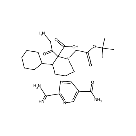 CC(C)(C)OC(=O)CN1CCCC(C2CCCCC2)C1(C(=O)O)C(=O)CN.N=C(N)c1ccc(C(N)=O)cn1